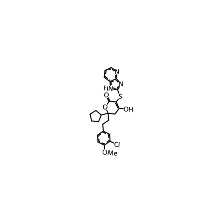 COc1ccc(CCC2(C3CCCC3)CC(O)=C(Sc3nc4ncccc4[nH]3)C(=O)O2)cc1Cl